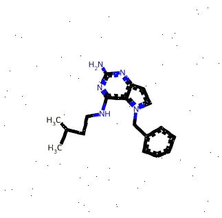 CC(C)CCNc1nc(N)nc2ccn(Cc3ccccc3)c12